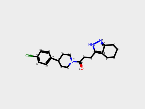 O=C(CCc1[nH]nc2c1CCCC2)N1CCC(c2ccc(Cl)cc2)CC1